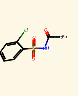 CC(C)(C)C(=O)NS(=O)(=O)c1ccccc1Cl